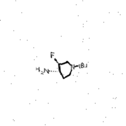 CC(C)(C)N1CC[C@H](N)[C@@H](F)C1